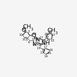 COc1ccc(Cc2nc3c(Cc4ccccc4)[nH]c(-c4cccc(C)c4)cn-3c2=O)cc1